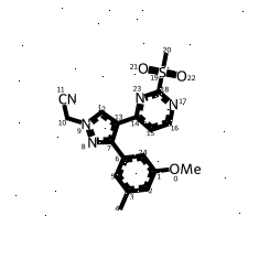 COc1cc(C)cc(-c2nn(CC#N)cc2-c2ccnc(S(C)(=O)=O)n2)c1